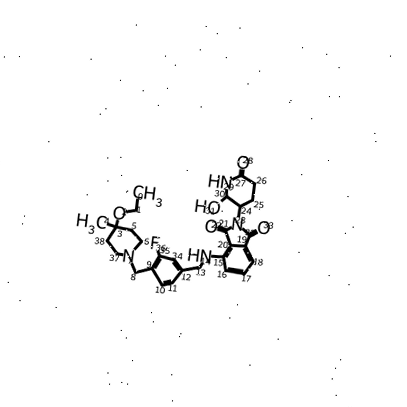 CCOC1(C)CCN(Cc2ccc(CNc3cccc4c3C(=O)N(C3CCC(=O)NC3O)C4=O)cc2F)CC1